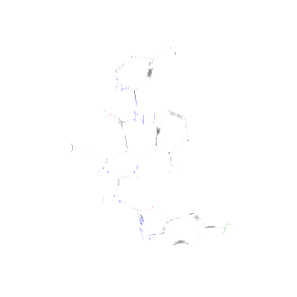 CC1=C(C(=O)Nc2cc(C#N)ccn2)C(c2ccccc2Cl)N=C(Nc2nc3ccc(F)cc3o2)N1